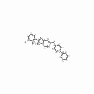 Fc1cccc(-c2nc3c([nH]2)C=NN(Cc2ccc(-c4ccccc4)cc2)C3)c1F